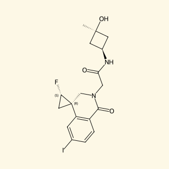 C[C@]1(O)C[C@@H](NC(=O)CN2C[C@@]3(C[C@@H]3F)c3cc(I)ccc3C2=O)C1